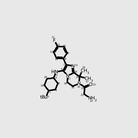 CC(C)(C)C1CCC(Nc2c(-c3ccc(F)cc3)nc3n2CCN(C(=O)CN)C3(C)C)CC1